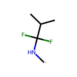 [CH2]NC(F)(F)C(C)C